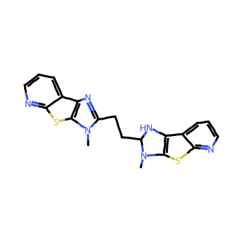 CN1c2sc3ncccc3c2NC1CCc1nc2c3cccnc3sc2n1C